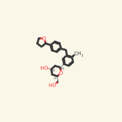 Cc1ccc([C@H]2C[C@@H](O)C[C@@H](CO)O2)cc1Cc1ccc(C2CCCO2)cc1